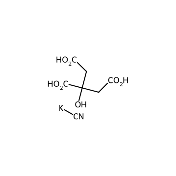 N#[C][K].O=C(O)CC(O)(CC(=O)O)C(=O)O